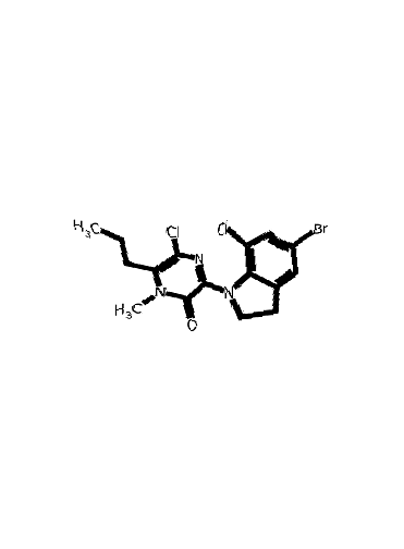 CCCc1c(Cl)nc(N2CCc3cc(Br)cc(Cl)c32)c(=O)n1C